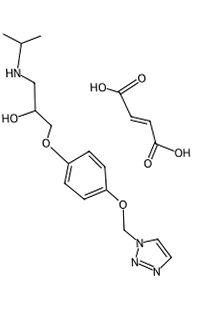 CC(C)NCC(O)COc1ccc(OCn2ccnn2)cc1.O=C(O)C=CC(=O)O